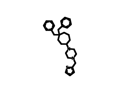 c1ccc(CC2(Cc3ccccc3)CCCC(N3CCN(Cc4cccs4)CC3)CC2)cc1